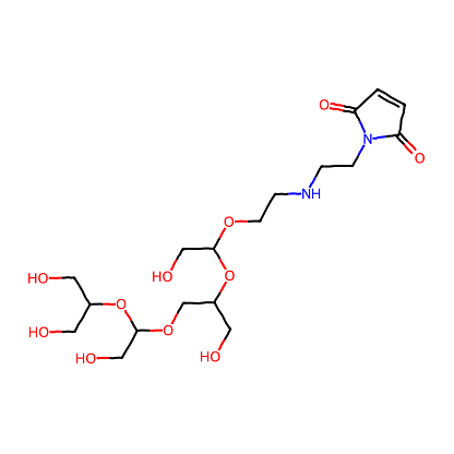 O=C1C=CC(=O)N1CCNCCOC(CO)OC(CO)COC(CO)OC(CO)CO